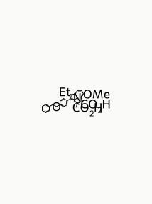 CCc1c(-c2ccc(OCc3ccccc3)cc2)c2c(C(=O)O)c(C(=O)O)c3c(OC)ccc1n32